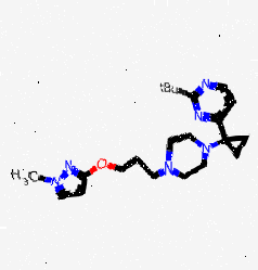 Cn1ccc(OCCCN2CCN(C3(c4ccnc(C(C)(C)C)n4)CC3)CC2)n1